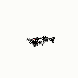 COc1cc(OC(=O)CCCc2ccc(N3C(=O)c4cccc5c(-c6ccc(N(c7ccccc7)c7ccccc7)cc6)ccc(c45)C3=O)cc2)cc(OC)c1C1=C2C(C)=C3CCc4ccccc4C3=[N+]2[B-](F)(F)n2c1c(C)c1c2-c2ccccc2CC1